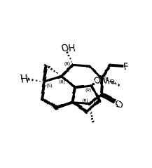 CO[C@@H]1CCC23CC[C@H]4C[C@@]4(C12)[C@H](O)C[C@@](C)(CF)C(=O)[C@@H]3C